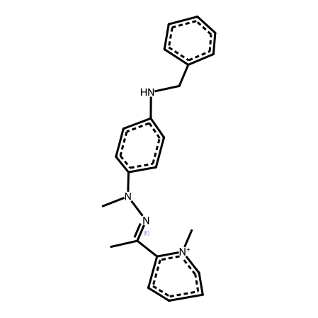 C/C(=N\N(C)c1ccc(NCc2ccccc2)cc1)c1cccc[n+]1C